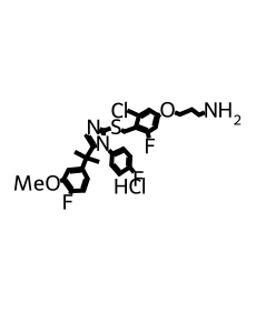 COc1cc(C(C)(C)c2cnc(SCc3c(F)cc(OCCCN)cc3Cl)n2-c2ccc(F)cc2)ccc1F.Cl